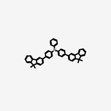 CC1(C)c2ccccc2-c2cc(-c3ccc(N(c4ccccc4)c4ccc(-c5ccc6c(c5)-c5ccccc5C6(C)C)cc4)cc3)ccc21